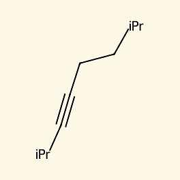 [CH2]C(C)C#CCCC(C)C